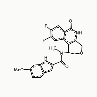 COc1ccc2cc(C(=O)N(C)C3COCc4[nH]c(=O)c5cc(F)c(F)cc5c43)[nH]c2c1